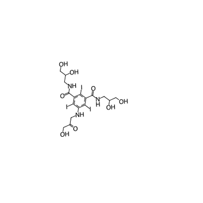 O=C(CO)CNc1c(I)c(C(=O)NCC(O)CO)c(I)c(C(=O)NCC(O)CO)c1I